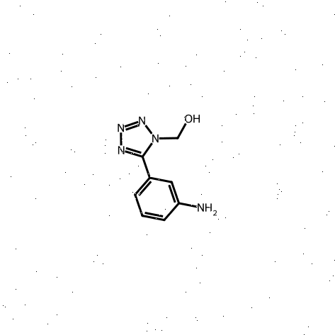 Nc1cccc(-c2nnnn2CO)c1